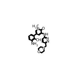 Cc1c(N)cccc1-c1cc(Nc2ccc(CN3CCOCC3)nn2)c(=O)n(C)c1